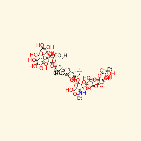 CCC(=O)N[C@H]1C(CO)O[C@@H](OC(=O)[C@]23CCC(C)(C)CC2C2=CCC4C5(C)CC[C@H](O[C@@H]6OC(C(=O)O)[C@@H](O)[C@H](O[C@@H]7OC[C@@H](O)[C@H](O)C7O)C6O[C@@H]6OC(CO)[C@H](O)[C@H](O)C6O)[C@](C)(C=O)[C@@H]5CCC4(C)[C@]2(C)CC3O)C(O[C@@H]2OC(C)[C@H](O[C@@H]3OC[C@@H](O)C(O[C@@H]4OC[C@@](O)(CC)C4O)C3O)C(O)C2O)C1O